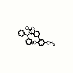 Cc1ccc(O)c(-c2ccc3oc(=O)n(C(c4ccccc4)c4ccccc4)c3c2)c1